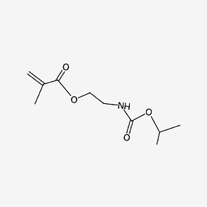 C=C(C)C(=O)OCCNC(=O)OC(C)C